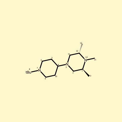 C[C@H]1CN(C2CCN(C(C)(C)C)CC2)C[C@H](C)N1C